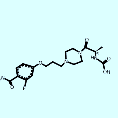 C[C@@H](NC(=O)O)C(=O)N1CCN(CCCOc2ccc(C(N)=O)c(F)c2)CC1